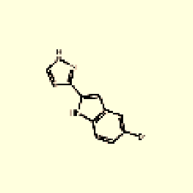 Brc1ccc2[nH]c(-c3cc[nH]n3)cc2c1